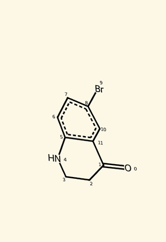 O=C1CCNc2ccc(Br)cc21